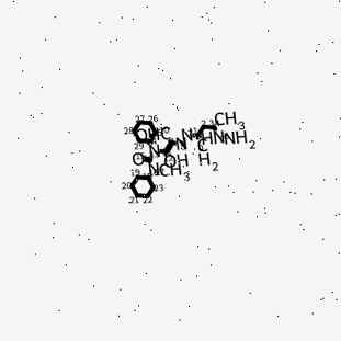 C=C(CC(C)NN)/N=N/C(C=O)=C(\O)N(C(=O)N(C)C1CCCCC1)C1CCCCC1